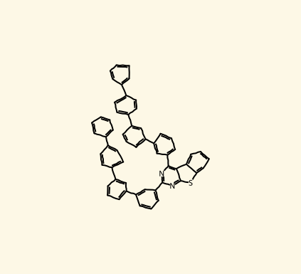 c1ccc(-c2ccc(-c3cccc(-c4cccc(-c5nc(-c6cccc(-c7cccc(-c8ccc(-c9ccccc9)cc8)c7)c6)c6c(n5)sc5ccccc56)c4)c3)cc2)cc1